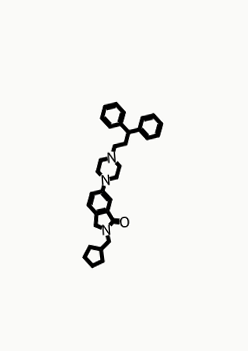 O=C1c2cc(N3CCN(CCC(c4ccccc4)c4ccccc4)CC3)ccc2CN1CC1CCCC1